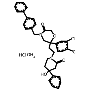 Cl.O.O=C1CC(O)(c2ccccc2)CCN1CCC1(c2ccc(Cl)c(Cl)c2)CN(Cc2ccc(-c3ccccc3)cc2)C(=O)CO1